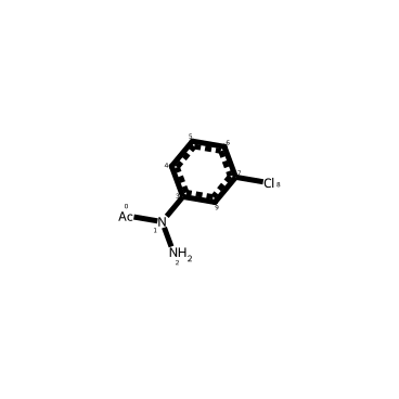 CC(=O)N(N)c1cccc(Cl)c1